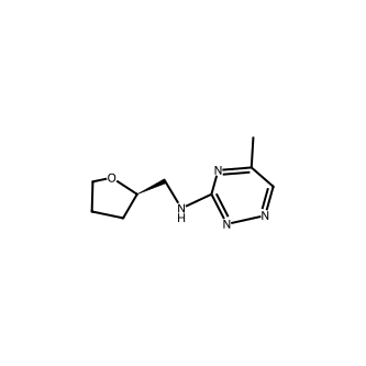 Cc1cnnc(NC[C@H]2CCCO2)n1